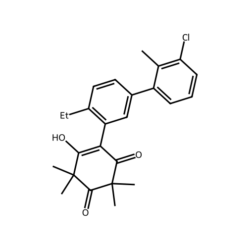 CCc1ccc(-c2cccc(Cl)c2C)cc1C1=C(O)C(C)(C)C(=O)C(C)(C)C1=O